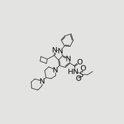 CCS(=O)(=O)NC(=O)c1cc(N2CCC(N3CCCCC3)CC2)c2c(C3CCC3)nn(-c3ccccc3)c2n1